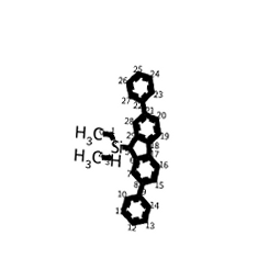 CC[SiH](CC)C1c2cc(-c3ccccc3)ccc2-c2ccc(-c3ccccc3)cc21